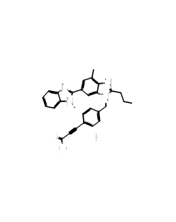 CCCc1nc2c(C)cc(-c3nc4ccccc4n3C)cc2n1Cc1ccc(C#CC(=O)[O-])cc1.[K+]